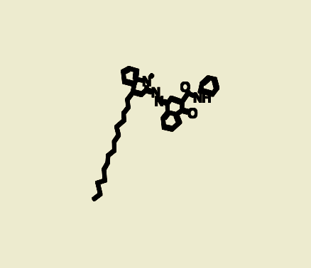 CCCCCCCCCCCCCCCc1c/c(=N\N=C2C=C(C(=O)Nc3ccccc3)C(=O)c3ccccc32)n(C)c2ccccc12